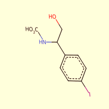 O=C(O)NC(CO)c1ccc(I)cc1